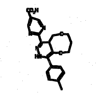 Cc1ccc(C2=C3CCCCCCC3C(c3ncc(C(=O)O)cn3)=NN2)cc1